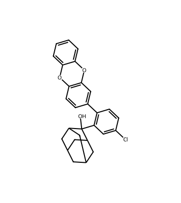 OC1(c2cc(Cl)ccc2-c2ccc3c(c2)Oc2ccccc2O3)C2CC3CC(C2)CC1C3